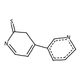 S=C1CC(c2cccnc2)=CC=N1